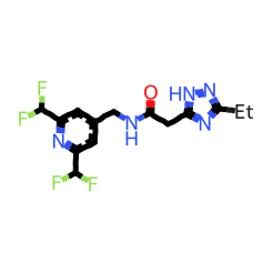 CCc1n[nH]c(CC(=O)NCc2cc(C(F)F)nc(C(F)F)c2)n1